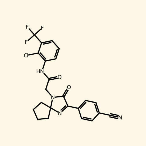 N#Cc1ccc(C2=NC3(CCCC3)N(CC(=O)Nc3cccc(C(F)(F)F)c3Cl)C2=O)cc1